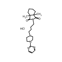 CC12CCCCC1(C)C(=O)N(CCCCN1CCN(c3ncccn3)CC1)C2=O.Cl